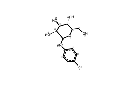 CC(=O)c1ccc(NC2O[C@H](CO)[C@@H](O)[C@H](O)[C@H]2O)cc1